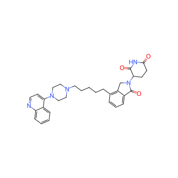 O=C1CCC(N2Cc3c(CCCCCN4CCN(c5ccnc6ccccc56)CC4)cccc3C2=O)C(=O)N1